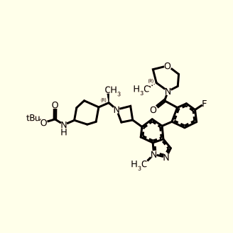 C[C@H](C1CCC(NC(=O)OC(C)(C)C)CC1)N1CC(c2cc(-c3ccc(F)cc3C(=O)N3CCOC[C@H]3C)c3cnn(C)c3c2)C1